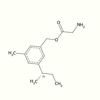 CC[C@H](C)c1cc(C)cc(COC(=O)CN)c1